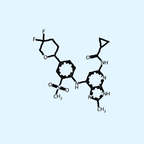 Cc1nc2c(Nc3ccc(C4CCC(F)(F)CO4)cc3S(C)(=O)=O)cc(NC(=O)C3CC3)nc2[nH]1